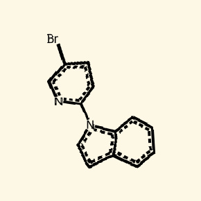 Brc1ccc(-n2ccc3ccccc32)nc1